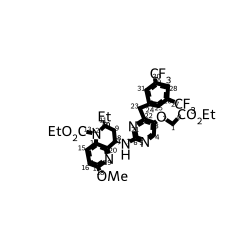 CCOC(=O)COc1cnc(N[C@H]2C[C@@H](CC)N(C(=O)OCC)c3ccc(OC)nc32)nc1Cc1cc(C(F)(F)F)cc(C(F)(F)F)c1